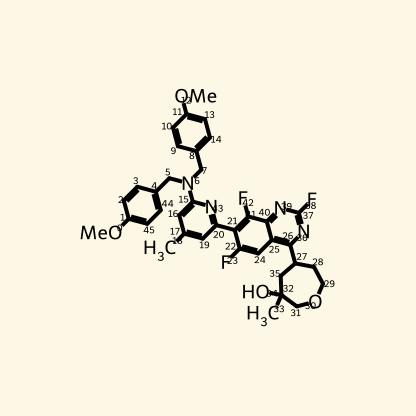 COc1ccc(CN(Cc2ccc(OC)cc2)c2cc(C)cc(-c3c(F)cc4c(C5CCOCC(C)(O)C5)nc(F)nc4c3F)n2)cc1